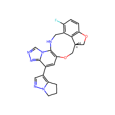 Fc1ccc2c3c1CNc1c(cc(-c4cnn5c4CCC5)c4nncn14)OC[C@H]3CO2